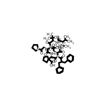 CN[C@H](C(=O)N[C@H](C(=O)N[C@@H](CC(=O)N1CCCC1)C(=O)N[C@H](C(=O)N(C(=O)C(Cc1ccccc1)Cc1ccccc1)[C@@H](CC(C)(C)C)C(=O)O)C1(C(=O)O)CCCC1)C(C)(C)C)C(C)C